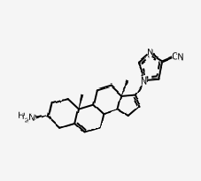 C[C@]12CC[C@H](N)CC1=CCC1C2CC[C@]2(C)C(n3cnc(C#N)c3)=CCC12